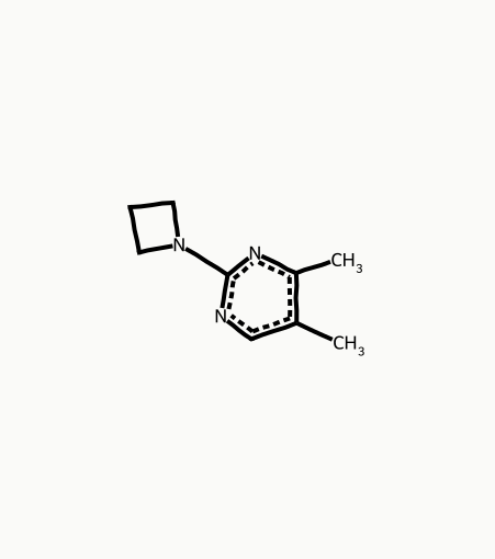 Cc1cnc(N2CCC2)nc1C